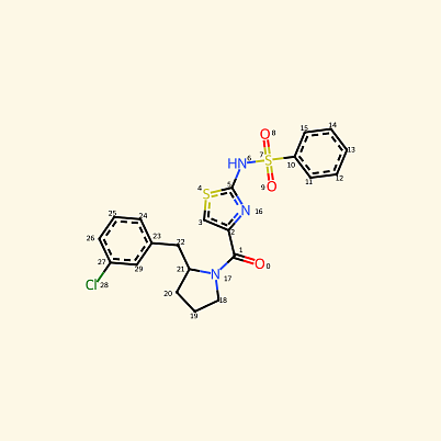 O=C(c1csc(NS(=O)(=O)c2ccccc2)n1)N1CCCC1Cc1cccc(Cl)c1